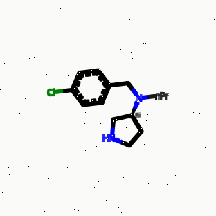 CCCN(Cc1ccc(Cl)cc1)[C@H]1CCNC1